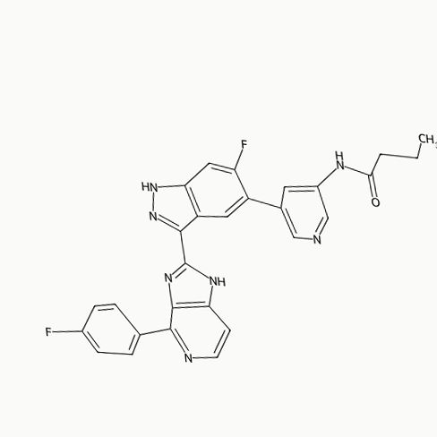 CCCC(=O)Nc1cncc(-c2cc3c(-c4nc5c(-c6ccc(F)cc6)nccc5[nH]4)n[nH]c3cc2F)c1